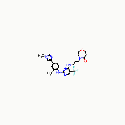 Cc1cc(-c2cn(C)cn2)ccc1Nc1ncc(C(F)(F)F)c(NCCCN2CCOCCC2=O)n1